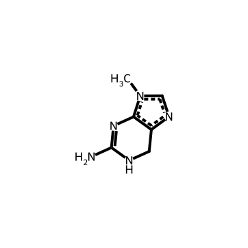 Cn1cnc2c1N=C(N)NC2